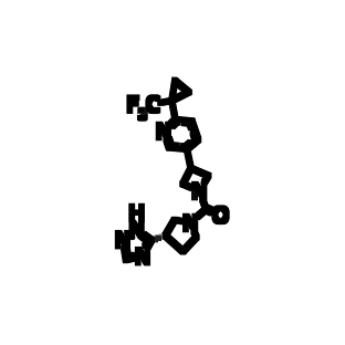 O=C(N1CC(c2ccc(C3(C(F)(F)F)CC3)nc2)C1)N1CC[C@H](c2ncn[nH]2)C1